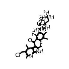 [2H]C([2H])([2H])CC([2H])([2H])S(=O)(=O)Nc1c(C)c(C)c(F)c(C(=O)c2c(C)[nH]c3nc(C)c(CCl)c(C)c23)c1F